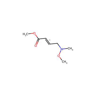 COC(=O)/C=C/CN(C)OC